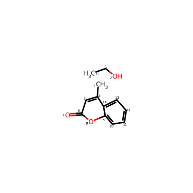 CCO.Cc1cc(=O)oc2ccccc12